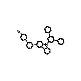 Brc1ccc(-c2cccc(-c3ccc4c(c3)c3ccccc3n4-c3cc(-c4ccccc4)cc(-c4ccccc4)c3)c2)cc1